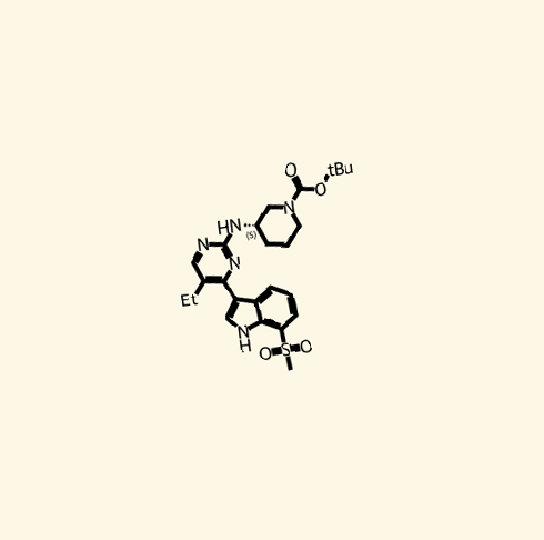 CCc1cnc(N[C@H]2CCCN(C(=O)OC(C)(C)C)C2)nc1-c1c[nH]c2c(S(C)(=O)=O)cccc12